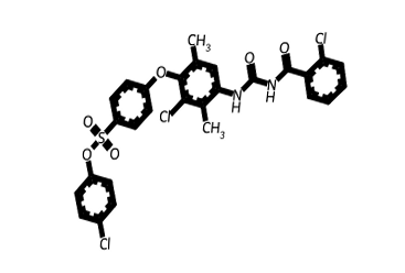 Cc1cc(NC(=O)NC(=O)c2ccccc2Cl)c(C)c(Cl)c1Oc1ccc(S(=O)(=O)Oc2ccc(Cl)cc2)cc1